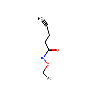 C#CCCC(=O)NOCC(C)=O